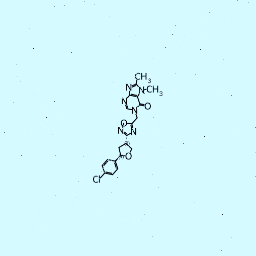 Cc1nc2ncn(Cc3nc([C@@H]4CO[C@@H](c5ccc(Cl)cc5)C4)no3)c(=O)c2n1C